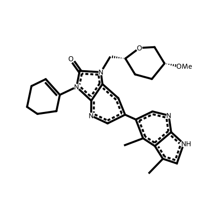 CO[C@@H]1CC[C@H](Cn2c(=O)n(C3=CCCCC3)c3ncc(-c4cnc5[nH]cc(C)c5c4C)cc32)OC1